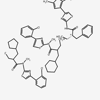 CN(C(=O)C(CC(=O)O)CC1CCCC1)c1nc(-c2ccccc2Cl)cs1.CN(C(=O)C(CC(=O)O)CC1CCCCC1)c1nc(-c2ccccc2Cl)cs1.Cc1cc(-c2csc(NC(=O)[C@@H](CC(=O)O)Cc3ccccc3)n2)c(C)s1